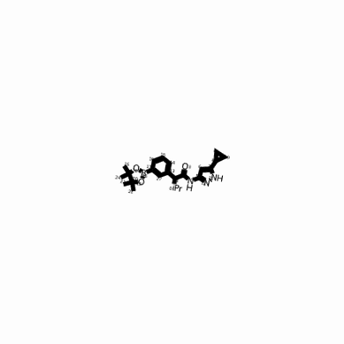 CC(C)C(C(=O)Nc1cc(C2CC2)[nH]n1)c1cccc(B2OC(C)(C)C(C)(C)O2)c1